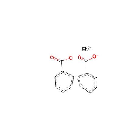 O=C([O-])c1ccccc1.O=C([O-])c1ccccc1.[Rh+2]